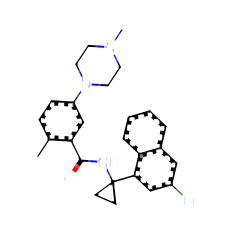 Cc1ccc(N2CCN(C)CC2)cc1C(=O)NC1(c2cc(Br)cc3ccccc23)CC1